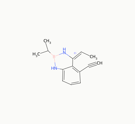 C#Cc1cccc2c1/C(=C\C)NB(C(C)C)N2